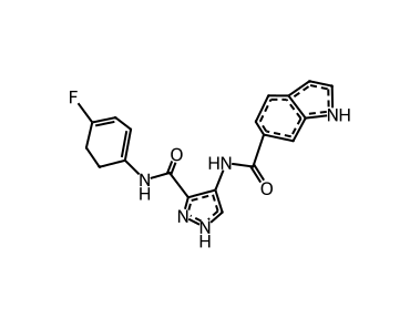 O=C(Nc1c[nH]nc1C(=O)NC1=CC=C(F)CC1)c1ccc2cc[nH]c2c1